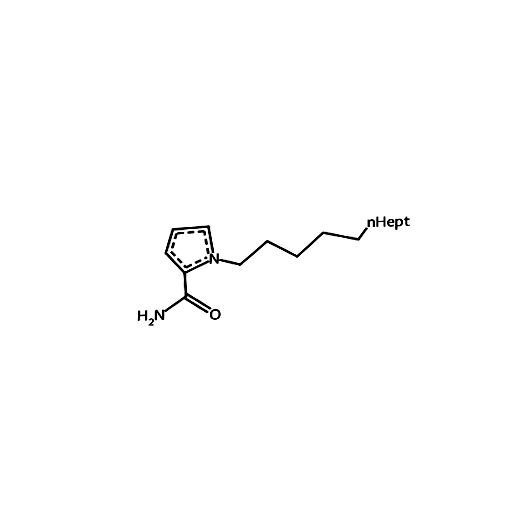 CCCCCCCCCCCCn1cccc1C(N)=O